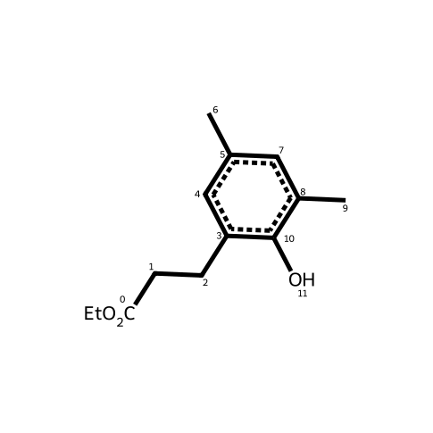 CCOC(=O)CCc1cc(C)cc(C)c1O